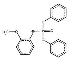 COc1ccccc1NP(=O)(Oc1ccccc1)Oc1ccccc1